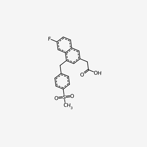 CS(=O)(=O)c1ccc(Cc2cc(CC(=O)O)cc3ccc(F)cc23)cc1